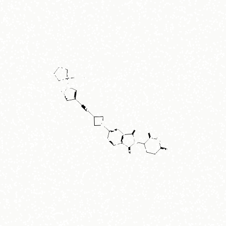 O=CC1(n2cc(C#CC3CN(c4ccc5c(c4)C(=O)N(C4CCC(=O)NC4=O)C5=O)C3)cn2)CCCC1